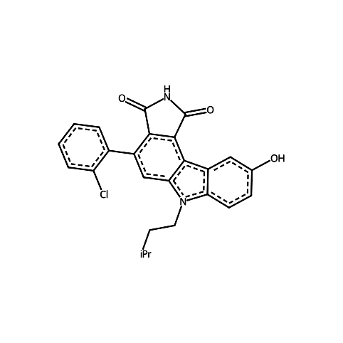 CC(C)CCn1c2ccc(O)cc2c2c3c(c(-c4ccccc4Cl)cc21)C(=O)NC3=O